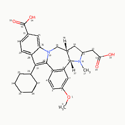 COc1ccc2c(c1)[C@@H]1[C@@H](CC(CC(=O)O)N1C)Cn1c-2c(C2CCCCC2)c2ccc(C(=O)O)cc21